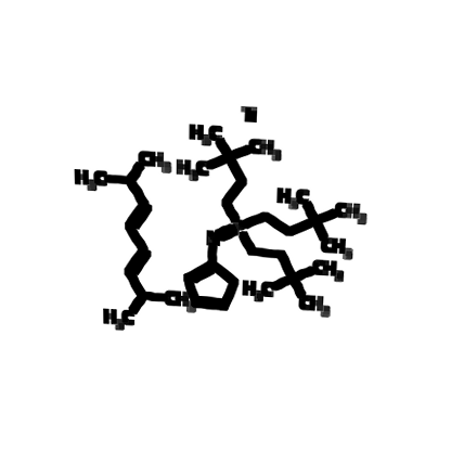 CC(C)(C)CCP(CCC(C)(C)C)(CCC(C)(C)C)=NC1=CC=CC1.CC(C)C=CC=CC(C)C.[Ti]